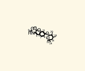 CC(=O)Nc1cc2ccc(OC3OC(C)(C)C[C@H](C)[C@@H]3C)cc2oc1=O